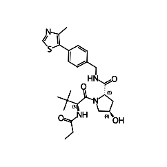 CCC(=O)N[C@H](C(=O)N1C[C@H](O)C[C@H]1C(=O)NCc1ccc(-c2scnc2C)cc1)C(C)(C)C